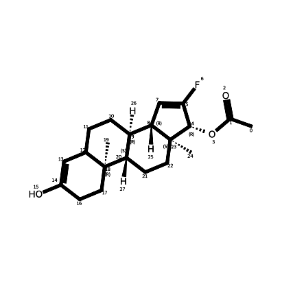 CC(=O)O[C@H]1C(F)=C[C@H]2[C@@H]3CCC4C=C(O)CC[C@]4(C)[C@H]3CC[C@]12C